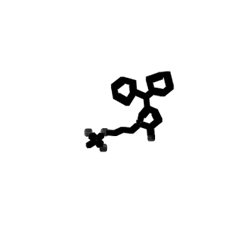 CS(=O)(=O)OCCCn1cc(C(c2ccccc2)c2ccccc2)ccc1=O